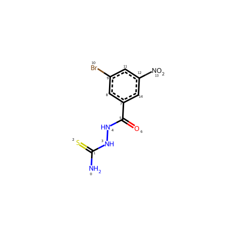 NC(=S)NNC(=O)c1cc(Br)cc([N+](=O)[O-])c1